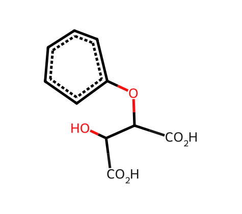 O=C(O)C(O)C(Oc1ccccc1)C(=O)O